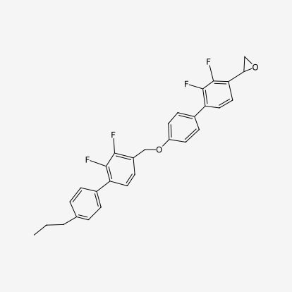 CCCc1ccc(-c2ccc(COc3ccc(-c4ccc(C5CO5)c(F)c4F)cc3)c(F)c2F)cc1